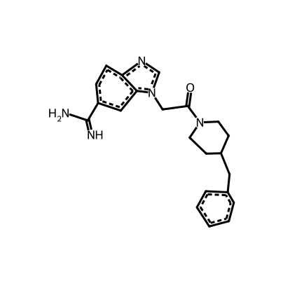 N=C(N)c1ccc2ncn(CC(=O)N3CCC(Cc4ccccc4)CC3)c2c1